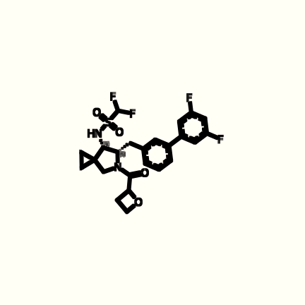 O=C(C1CCO1)N1CC2(CC2)[C@H](NS(=O)(=O)C(F)F)[C@@H]1Cc1cccc(-c2cc(F)cc(F)c2)c1